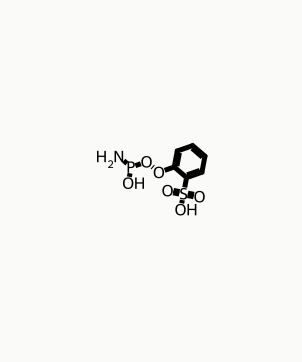 NP(O)OOc1ccccc1S(=O)(=O)O